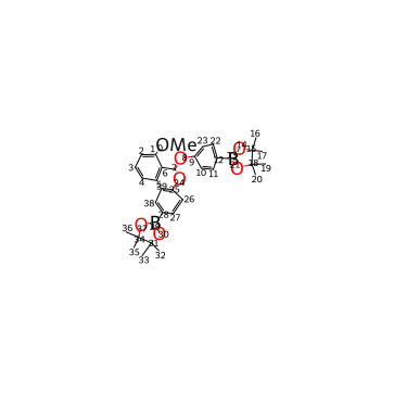 COc1ccccc1C(Oc1ccc(B2OC(C)(C)C(C)(C)O2)cc1)Oc1ccc(B2OC(C)(C)C(C)(C)O2)cc1